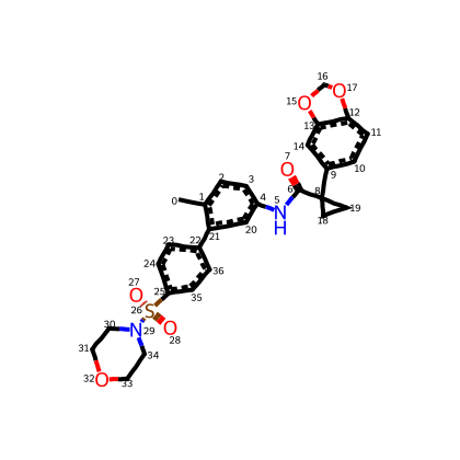 Cc1ccc(NC(=O)C2(c3ccc4c(c3)OCO4)CC2)cc1-c1ccc(S(=O)(=O)N2CCOCC2)cc1